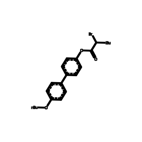 CCCCOc1ccc(-c2ccc(OC(=O)C(Br)C(C)CC)cc2)cc1